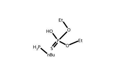 CCCCP.CCOP(O)(=S)OCC